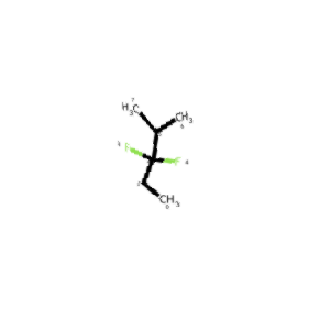 C[CH]C(F)(F)C(C)C